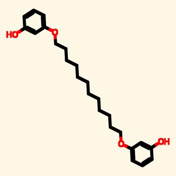 Oc1cccc(OCCCCCCCCCCCCOc2cccc(O)c2)c1